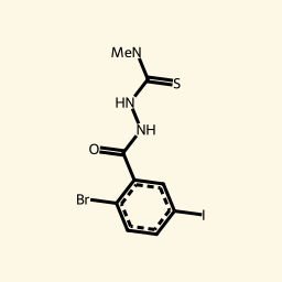 CNC(=S)NNC(=O)c1cc(I)ccc1Br